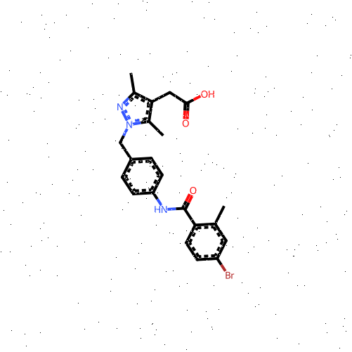 Cc1cc(Br)ccc1C(=O)Nc1ccc(Cn2nc(C)c(CC(=O)O)c2C)cc1